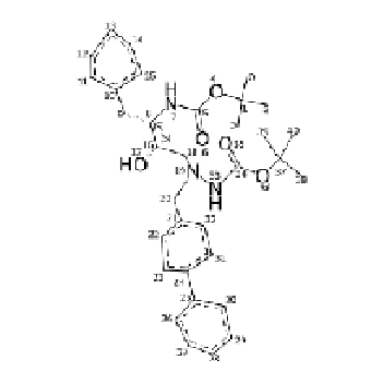 CC(C)(C)OC(=O)N[C@@H](Cc1ccccc1)[C@@H](O)CN(Cc1ccc(-c2ccccc2)cc1)NC(=O)OC(C)(C)C